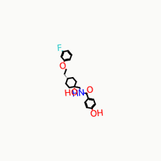 O=C(NC[C@]1(O)CC[C@@H](CCOc2cccc(F)c2)CC1)c1ccc(O)cc1